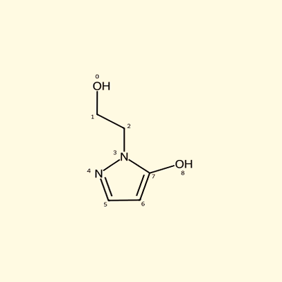 OCCn1nccc1O